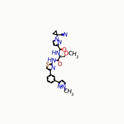 COC[C@H](NC(=O)c1ccn(C2(C#N)CC2)n1)C(=O)Nc1nc(-c2cccc(-c3ccn(C)n3)c2)cs1